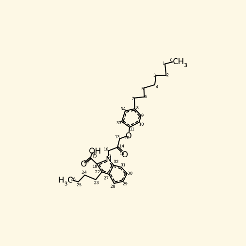 CCCCCCCCc1ccc(OCC(=O)Cn2c(C(=O)O)c(CCCC)c3ccccc32)cc1